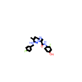 Cc1cc2ncc(C(=O)Nc3ccc(O)cc3F)n2nc1NCc1ccc(F)cc1